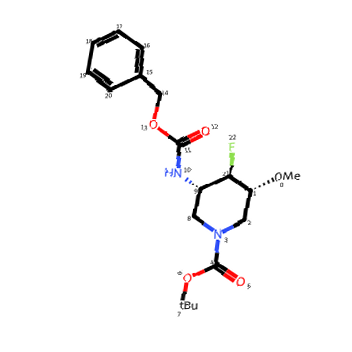 CO[C@@H]1CN(C(=O)OC(C)(C)C)C[C@H](NC(=O)OCc2ccccc2)[C@H]1F